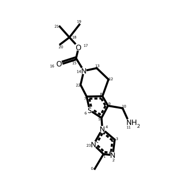 Cc1ncn(-c2sc3c(c2CN)CCN(C(=O)OC(C)(C)C)C3)n1